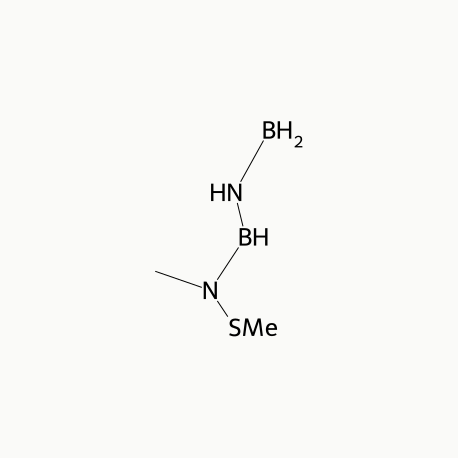 BNBN(C)SC